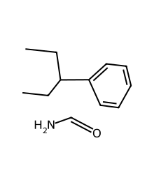 CCC(CC)c1ccccc1.NC=O